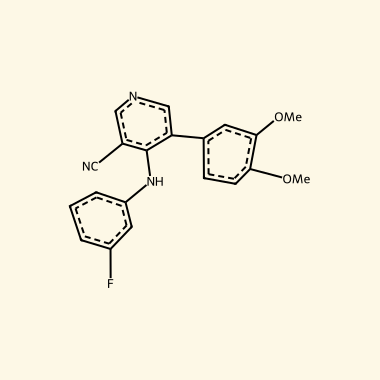 COc1ccc(-c2cncc(C#N)c2Nc2cccc(F)c2)cc1OC